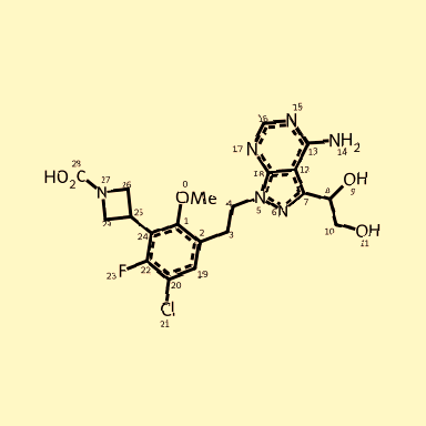 COc1c(CCn2nc(C(O)CO)c3c(N)ncnc32)cc(Cl)c(F)c1C1CN(C(=O)O)C1